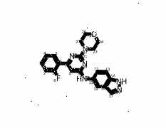 Fc1ccccc1-c1cc(Nc2ccc3[nH]ncc3c2)nc(N2CCOCC2)n1